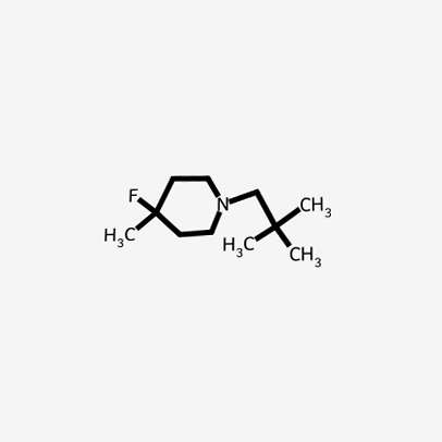 CC(C)(C)CN1CCC(C)(F)CC1